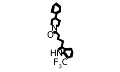 O=C(CCCc1c[nH]c2c(C(F)(F)F)cccc12)N1CCC(c2ccccc2)CC1